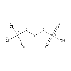 O=S(=O)(O)CCCC(Cl)(Cl)Cl